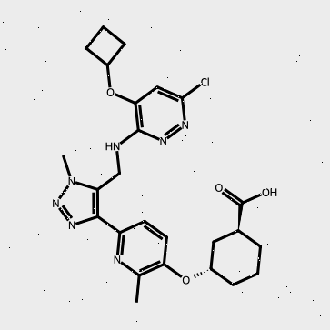 Cc1nc(-c2nnn(C)c2CNc2nnc(Cl)cc2OC2CCC2)ccc1O[C@H]1CCC[C@H](C(=O)O)C1